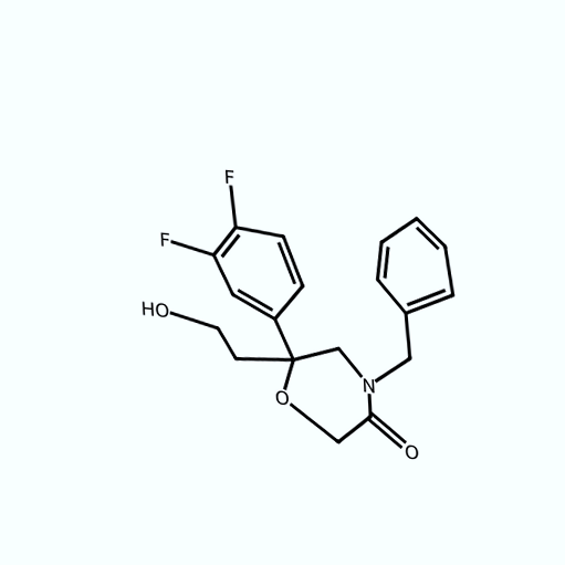 O=C1COC(CCO)(c2ccc(F)c(F)c2)CN1Cc1ccccc1